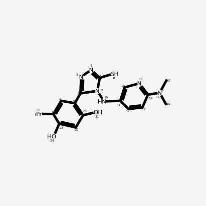 CC(C)c1cc(-c2nnc(S)n2Nc2ccc(N(C)C)nc2)c(O)cc1O